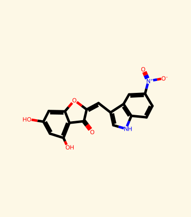 O=C1C(=Cc2c[nH]c3ccc([N+](=O)[O-])cc23)Oc2cc(O)cc(O)c21